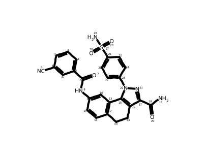 N#Cc1cccc(C(=O)Nc2ccc3c(c2)-c2c(c(C(N)=O)nn2-c2ccc(S(N)(=O)=O)cc2)CC3)c1